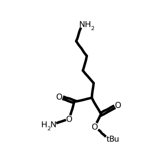 CC(C)(C)OC(=O)C(CCCCN)C(=O)ON